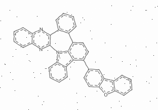 c1ccc2c(c1)-c1nc3ccccc3nc1-n1c3ccccc3c3c(-c4ccc5oc6ccccc6c5c4)ccc-2c31